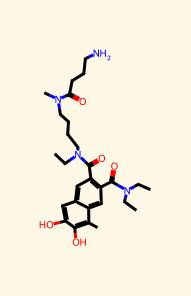 CCN(CC)C(=O)c1cc2c(C)c(O)c(O)cc2cc1C(=O)N(CC)CCCCN(C)C(=O)CCCN